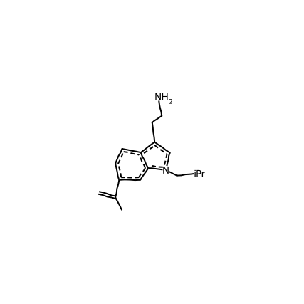 C=C(C)c1ccc2c(CCN)cn(CC(C)C)c2c1